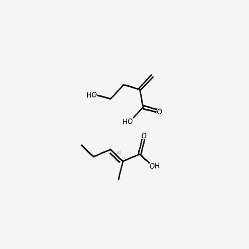 C=C(CCO)C(=O)O.CC/C=C(\C)C(=O)O